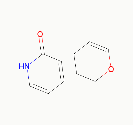 C1=COCCC1.O=c1cccc[nH]1